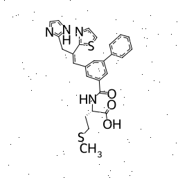 CSCC[C@H](NC(=O)c1cc(C=C(Cc2ncc[nH]2)c2nccs2)cc(-c2ccccc2)c1)C(=O)O